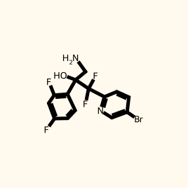 NCC(O)(c1ccc(F)cc1F)C(F)(F)c1ccc(Br)cn1